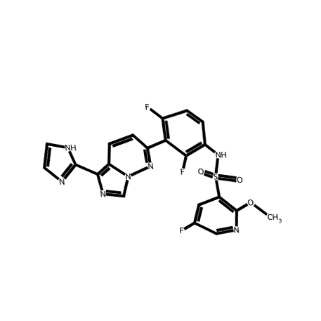 COc1ncc(F)cc1S(=O)(=O)Nc1ccc(F)c(-c2ccc3c(-c4ncc[nH]4)ncn3n2)c1F